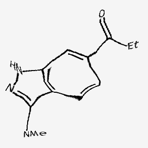 CCC(=O)c1ccc2c(NC)n[nH]c2c1